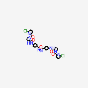 O=C(Nc1ccc(-c2nnc(-c3ccc(NC(=O)[C@@H]4CCCN4C(=O)c4cccc(Cl)n4)cc3)o2)cc1)[C@@H]1CCCN1C(=O)c1cccc(Cl)n1